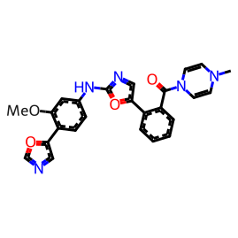 COc1cc(Nc2ncc(-c3ccccc3C(=O)N3C=CN(C)C=C3)o2)ccc1-c1cnco1